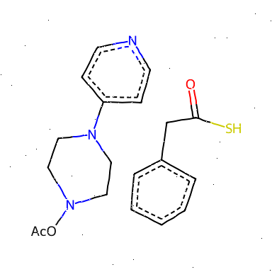 CC(=O)ON1CCN(c2ccncc2)CC1.O=C(S)Cc1ccccc1